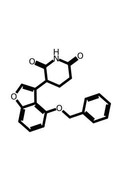 O=C1CCC(c2coc3cccc(OCc4ccccc4)c23)C(=O)N1